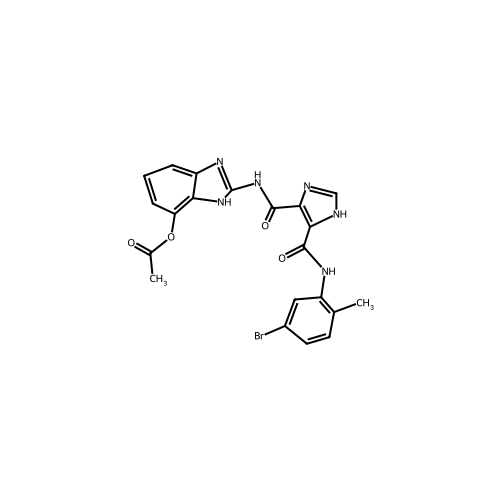 CC(=O)Oc1cccc2nc(NC(=O)c3nc[nH]c3C(=O)Nc3cc(Br)ccc3C)[nH]c12